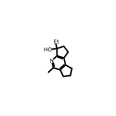 CCC1(O)CCc2c1nc(C)c1c2CCC1